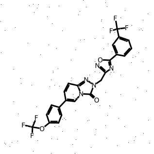 O=c1n(Cc2noc(-c3cccc(C(F)(F)F)c3)n2)nc2ccc(-c3ccc(OC(F)(F)F)cc3)cn12